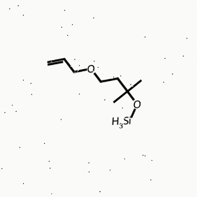 C=CCOCCC(C)(C)O[SiH3]